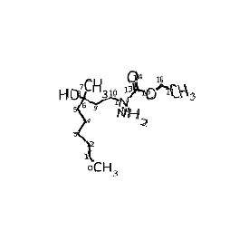 CCCCCCC(C)(O)CCN(N)C(=O)OCC